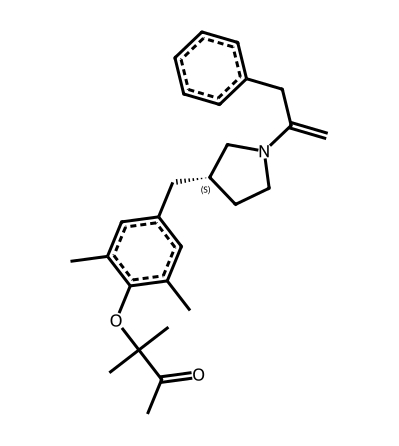 C=C(Cc1ccccc1)N1CC[C@H](Cc2cc(C)c(OC(C)(C)C(C)=O)c(C)c2)C1